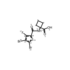 O=C(NC1(C(=O)O)CCC1)c1sc(Br)c(Br)c1F